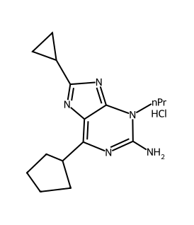 CCCn1c(N)nc(C2CCCC2)c2nc(C3CC3)nc1-2.Cl